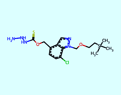 C[Si](C)(C)CCOCn1ncc2c(COC(=S)NNN)ccc(Cl)c21